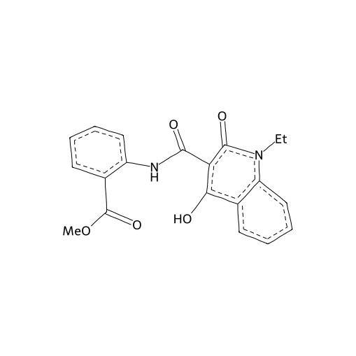 CCn1c(=O)c(C(=O)Nc2ccccc2C(=O)OC)c(O)c2ccccc21